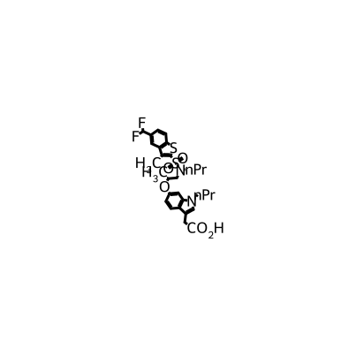 CCCN(C[C@@H](C)Oc1ccc2c(CC(=O)O)cn(CCC)c2c1)S(=O)(=O)c1sc2ccc(C(F)F)cc2c1C